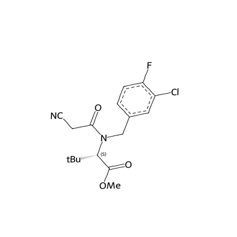 COC(=O)[C@@H](N(Cc1ccc(F)c(Cl)c1)C(=O)CC#N)C(C)(C)C